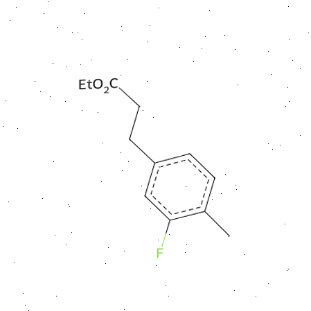 CCOC(=O)CCc1ccc(C)c(F)c1